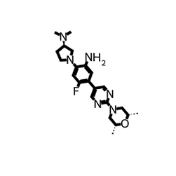 C[C@@H]1CN(c2ncc(-c3cc(N)c(N4CC[C@@H](N(C)C)C4)cc3F)cn2)C[C@H](C)O1